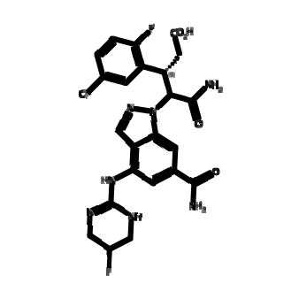 NC(=O)c1cc(NC2=NCC(F)CN2)c2cnn(C(C(N)=O)[C@@H](CC(=O)O)c3cc(Cl)ccc3F)c2c1